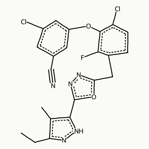 CCc1n[nH]c(-c2nnc(Cc3ccc(Cl)c(Oc4cc(Cl)cc(C#N)c4)c3F)o2)c1C